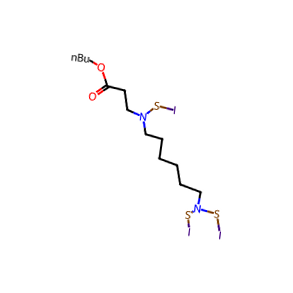 CCCCOC(=O)CCN(CCCCCCN(SI)SI)SI